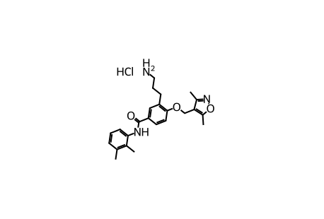 Cc1cccc(NC(=O)c2ccc(OCc3c(C)noc3C)c(CCCN)c2)c1C.Cl